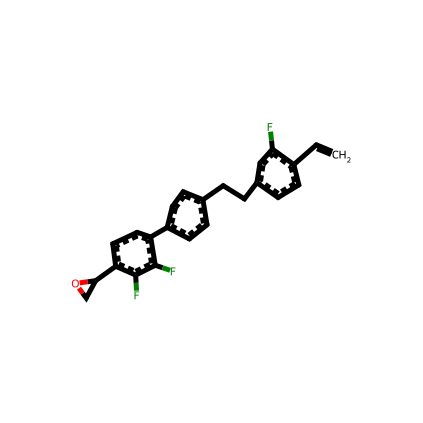 C=Cc1ccc(CCc2ccc(-c3ccc(C4CO4)c(F)c3F)cc2)cc1F